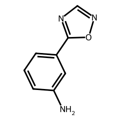 Nc1cccc(-c2ncno2)c1